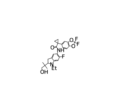 CCN1c2cc(F)c(NC(=O)C3(c4ccc5c(c4)OC(F)(F)O5)CC3)cc2CC1C(C)(C)CO